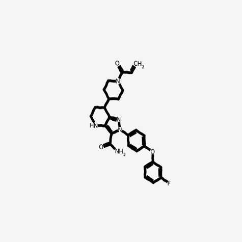 C=CC(=O)N1CCC(C2CCNc3c2nn(-c2ccc(Oc4cccc(F)c4)cc2)c3C(N)=O)CC1